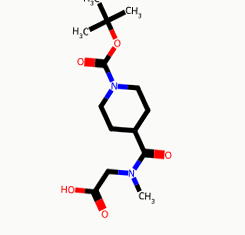 CN(CC(=O)O)C(=O)C1CCN(C(=O)OC(C)(C)C)CC1